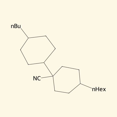 CCCCCCC1CCC(C#N)(C2CCC(CCCC)CC2)CC1